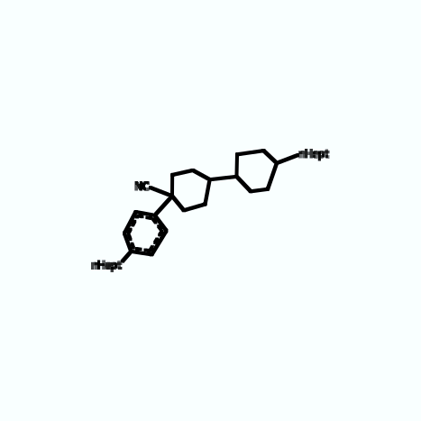 CCCCCCCc1ccc(C2(C#N)CCC(C3CCC(CCCCCCC)CC3)CC2)cc1